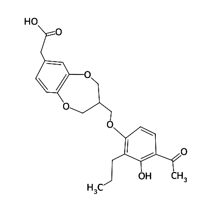 CCCc1c(OCC2COc3ccc(CC(=O)O)cc3OC2)ccc(C(C)=O)c1O